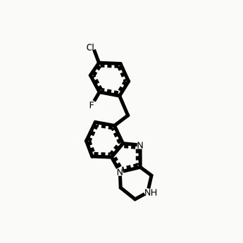 Fc1cc(Cl)ccc1Cc1cccc2c1nc1n2CCNC1